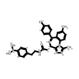 Cc1ccc2c(c1)C(c1ccc(Cl)cc1)=N[C@@H](CC(=O)NCCc1ccc(B(O)O)cc1)c1nnc(C)n1-2